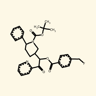 CC(C)(C)OC(=O)N1CC(C(OC(=O)c2ccc(CF)cc2)C(=O)c2ccccn2)CCC1c1ccccc1